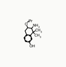 CC(C)OC1Cc2ccc(O)cc2C(C)(C)C1N